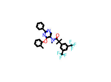 Cc1ccccc1Oc1nc(-c2ccccc2)ncc1N(C)C(=O)C(C)(C)c1cc(C(F)(F)F)cc(C(F)(F)F)c1